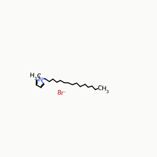 CCCCCCCCCCCCCCC[N+]1(C)C=CC=C1.[Br-]